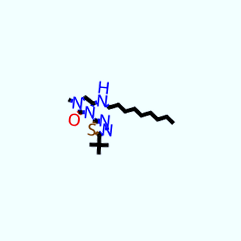 CCCCCCCCCNC1CN(C)C(=O)N1c1nnc(C(C)(C)C)s1